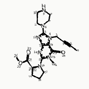 CC#CCn1c(N2CCNCC2)nc2nc(N3CCC[C@H]3C(=O)OC)n(C)c(=O)c21